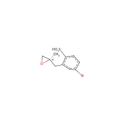 C[C@@]1(Cc2cc(Br)ccc2S(=O)(=O)O)CO1